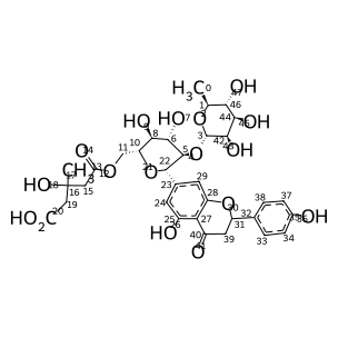 C[C@@H]1O[C@@H](O[C@@H]2[C@@H](O)[C@H](O)[C@@H](COC(=O)CC(C)(O)CC(=O)O)O[C@H]2c2cc(O)c3c(c2)OC(c2ccc(O)cc2)CC3=O)[C@H](O)[C@H](O)[C@H]1O